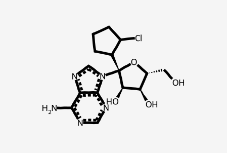 Nc1ncnc2c1ncn2[C@]1(C2CCCC2Cl)O[C@H](CO)[C@@H](O)[C@H]1O